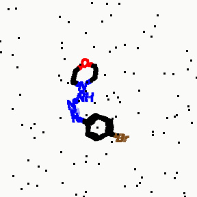 Brc1ccc(/N=N\NN2CCOCC2)cc1